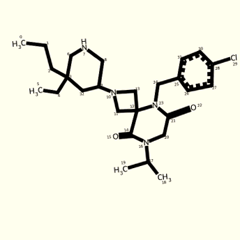 CCCC1(CC)CNCC(N2CC3(C2)C(=O)N(C(C)C)CC(=O)N3Cc2ccc(Cl)cc2)C1